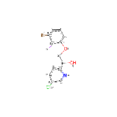 OC(COc1cccc(Br)c1I)c1ccc(Cl)cn1